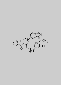 C[C@H](c1ccc(Cl)cc1Cl)n1ncc2ccc(N3CCN(C(=O)[C@H]4CCCN4)[C@H](CO)C3)cc21